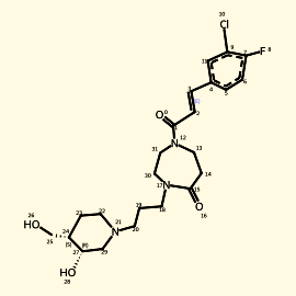 O=C(/C=C/c1ccc(F)c(Cl)c1)N1CCC(=O)N(CCCN2CC[C@@H](CO)[C@@H](O)C2)CC1